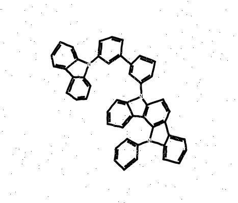 c1ccc(-n2c3ccccc3c3ccc4c(c5ccccc5n4-c4cccc(-c5cccc(-n6c7ccccc7c7ccccc76)c5)c4)c32)cc1